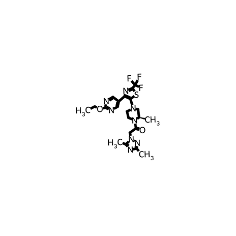 CCOc1ncc(-c2nc(C(F)(F)F)sc2N2CCN(C(=O)Cn3nc(C)nc3C)[C@H](C)C2)cn1